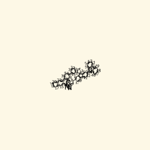 CCC1(CC)c2cc(/C=C/c3nnc(-c4cc5ccccc5cc4-c4ccc(-c5ccccc5)cc4)o3)ccc2-c2ccc(-n3c4ccccc4c4ccccc43)cc21